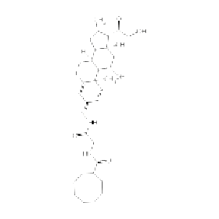 C[C@@H]1CC2[C@@H]3CCC4=C/C(=N/NC(=O)CNC(=O)C5CCCCCCC5)C=C[C@]4(C)C3[C@@H](O)C[C@]2(C)[C@H]1C(=O)CO